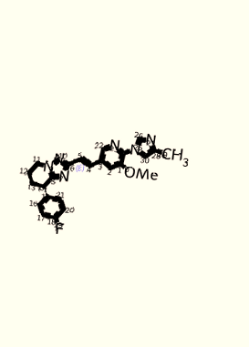 COc1cc(/C=C/c2nc3n(n2)CCC[C@H]3c2ccc(F)cc2)cnc1-n1cnc(C)c1